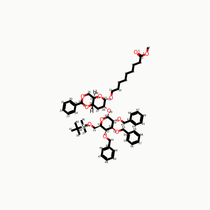 COC(=O)CCCCCCCCO[C@H]1O[C@@H]2COC(c3ccccc3)O[C@H]2C[C@H]1O[C@H]1O[C@H](CO[Si](C)(C)C(C)(C)C)[C@@H](OCc2ccccc2)[C@H](OCc2ccccc2)[C@H]1OCc1ccccc1